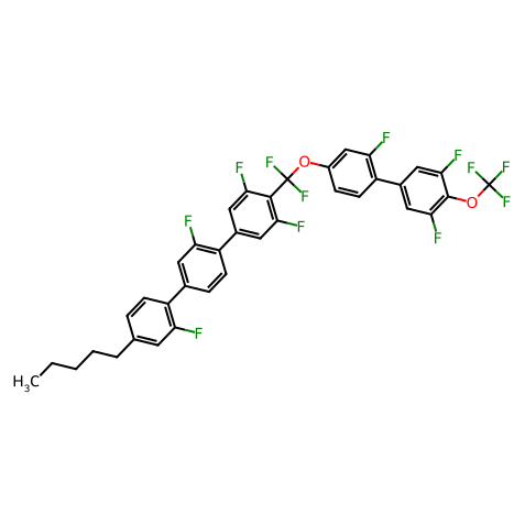 CCCCCc1ccc(-c2ccc(-c3cc(F)c(C(F)(F)Oc4ccc(-c5cc(F)c(OC(F)(F)F)c(F)c5)c(F)c4)c(F)c3)c(F)c2)c(F)c1